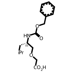 CC(C)C[C@@H](COCC(=O)O)NC(=O)OCc1ccccc1